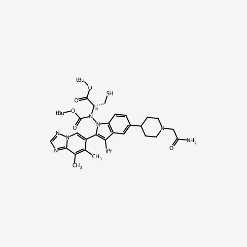 Cc1c(-c2c(C(C)C)c3cc(C4CCN(CC(N)=O)CC4)ccc3n2N(C(=O)OC(C)(C)C)[C@@H](CS)C(=O)OC(C)(C)C)cn2ncnc2c1C